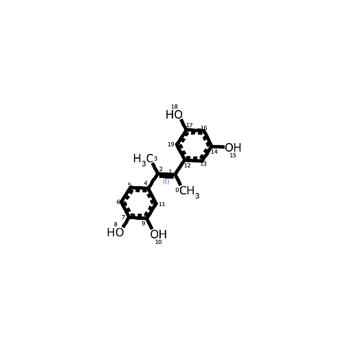 C/C(=C(/C)c1ccc(O)c(O)c1)c1cc(O)cc(O)c1